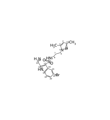 Cc1cc(C)n(CCCNS(=O)(=O)c2c(CN)[nH]c3ccc(Br)cc23)n1